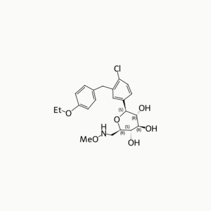 CCOc1ccc(Cc2cc([C@@H]3O[C@H](CNOC)[C@@H](O)[C@H](O)[C@H]3O)ccc2Cl)cc1